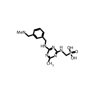 CNCc1cccc(CNc2nc(C)nc(NCP(=O)(O)O)n2)c1